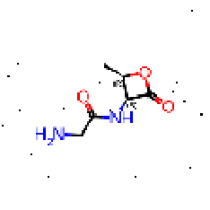 C[C@H]1OC(=O)[C@H]1NC(=O)CN